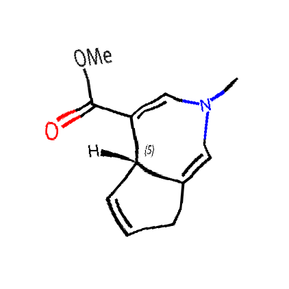 COC(=O)C1=CN(C)C=C2CC=C[C@@H]21